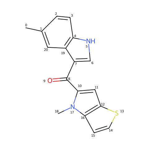 Cc1ccc2[nH]cc(C(=O)c3cc4sccc4n3C)c2c1